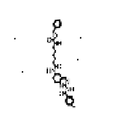 O=C(CCCCCNC(=O)OCc1ccccc1)NC1CCc2nc(NC(=O)c3ccc(F)cc3)ncc2C1